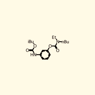 CCCCN(CC)C(=O)Oc1cccc(NC(=O)OC(C)CC)c1